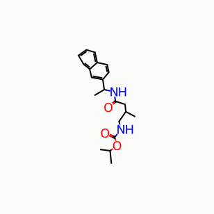 CC(CNC(=O)OC(C)C)CC(=O)NC(C)c1ccc2ccccc2c1